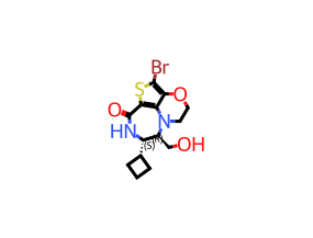 O=C1N[C@@H](C2CCC2)[C@H](CO)N2CCOc3c(Br)sc1c32